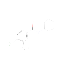 O=C(NC1CCCCC1)c1ccc(Br)c([N+](=O)[O-])c1